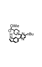 CCCCc1cnc(-c2ccc3cc[nH]c3c2)c(N2CCC(C(=O)OC)CC2)n1